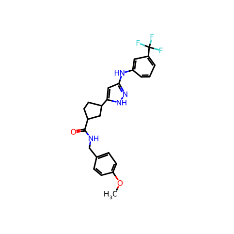 COc1ccc(CNC(=O)C2CCC(c3cc(Nc4cccc(C(F)(F)F)c4)n[nH]3)C2)cc1